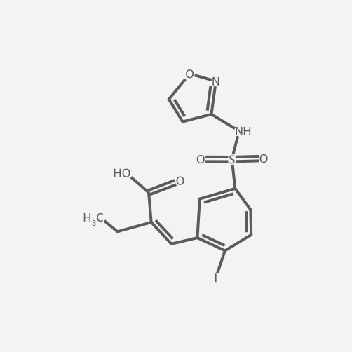 CCC(=Cc1cc(S(=O)(=O)Nc2ccon2)ccc1I)C(=O)O